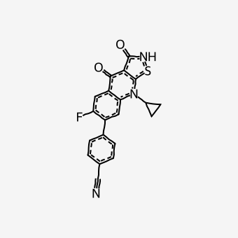 N#Cc1ccc(-c2cc3c(cc2F)c(=O)c2c(=O)[nH]sc2n3C2CC2)cc1